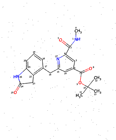 CNC(=O)c1cc(C(=O)OC(C)(C)C)cc(Cc2cccc3c2CC(=O)N3)n1